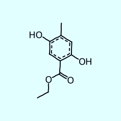 CCOC(=O)c1cc(O)c(C)cc1O